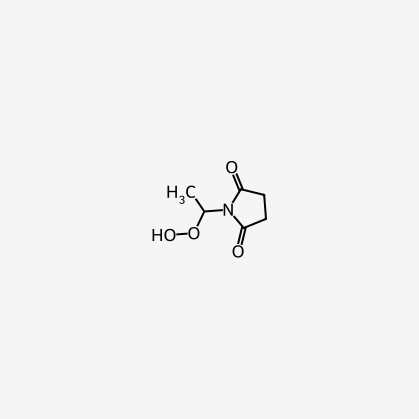 CC(OO)N1C(=O)CCC1=O